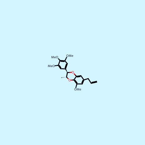 C=CCc1cc(OC)c2c(c1)O[C@H](c1cc(OC)c(OC)c(OC)c1)[C@@H](C)O2